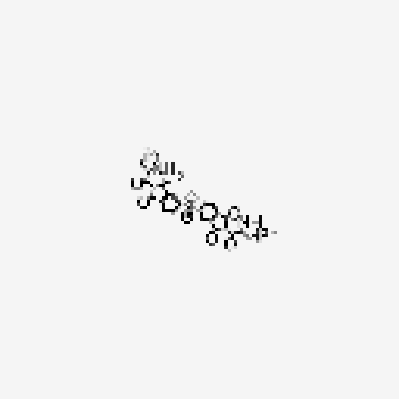 CC(C)C[C@@H](N)C(=O)C1C(=O)c2ccc(S(=O)(=O)c3ccc4c(c3)C(=O)C(C(=O)[C@H](N)CC(C)C)C4=O)cc2C1=O